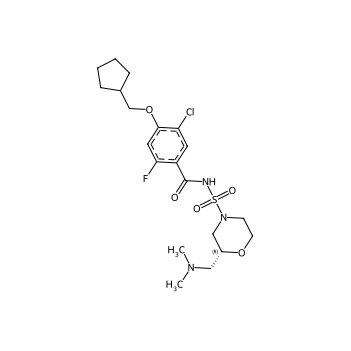 CN(C)C[C@@H]1CN(S(=O)(=O)NC(=O)c2cc(Cl)c(OCC3CCCC3)cc2F)CCO1